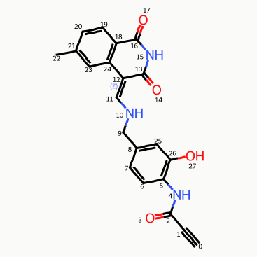 C#CC(=O)Nc1ccc(CN/C=C2\C(=O)NC(=O)c3ccc(C)cc32)cc1O